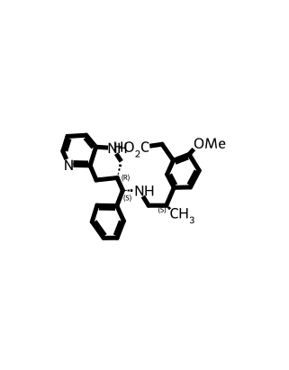 COc1ccc([C@H](C)CN[C@H](c2ccccc2)[C@H]2CNc3cccnc3C2)cc1CC(=O)O